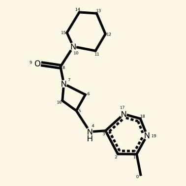 Cc1cc(NC2CN(C(=O)N3CCCCC3)C2)ncn1